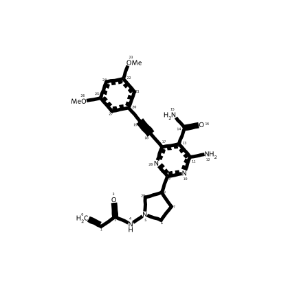 C=CC(=O)NN1CCC(c2nc(N)c(C(N)=O)c(C#Cc3cc(OC)cc(OC)c3)n2)C1